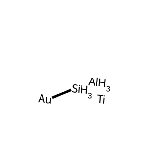 [AlH3].[SiH3][Au].[Ti]